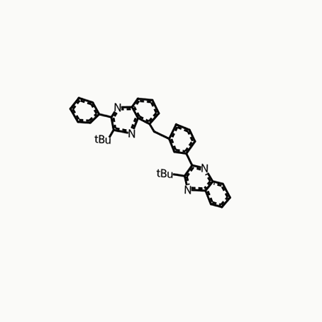 CC(C)(C)c1nc2ccccc2nc1-c1cccc(Cc2cccc3nc(-c4ccccc4)c(C(C)(C)C)nc23)c1